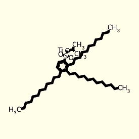 CCCCCCCCCCCCc1ccc(S(=O)(=O)OC(C)C)c(CCCCCCCCCCCC)c1CCCCCCCCCCCC.[Ti]